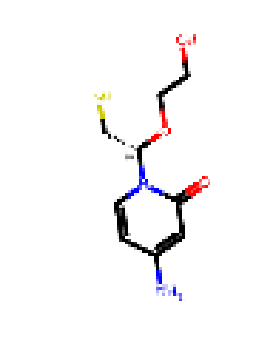 Nc1ccn([C@H](CS)OCCO)c(=O)c1